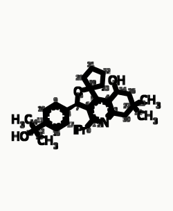 CC(C)c1nc2c(c3c1[C@@H](c1ccc(C(C)(C)O)cc1)OC31CCCC1)C(O)CC(C)(C)C2